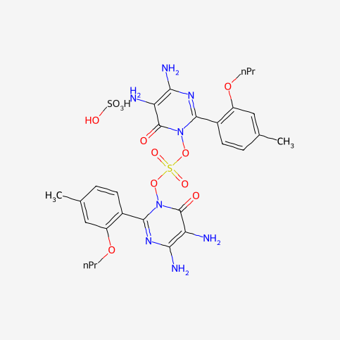 CCCOc1cc(C)ccc1-c1nc(N)c(N)c(=O)n1OS(=O)(=O)On1c(-c2ccc(C)cc2OCCC)nc(N)c(N)c1=O.O=S(=O)(O)O